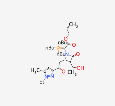 C=CCOC(=O)C(N1C(=O)C([C@@H](C)O)C1CC(=O)c1cc(C)n(CC)n1)=P(CCCC)(CCCC)CCCC